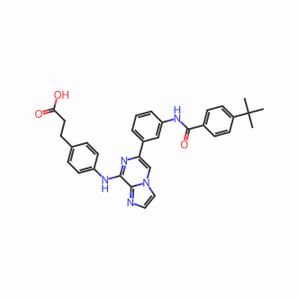 CC(C)(C)c1ccc(C(=O)Nc2cccc(-c3cn4ccnc4c(Nc4ccc(CCC(=O)O)cc4)n3)c2)cc1